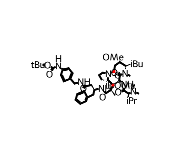 CC[C@H](C)[C@@H]([C@@H](CC(=O)N1CCC[C@H]1[C@H](OC)[C@@H](C)C(=O)N[C@H](CC(=O)NCc1ccc(NC(=O)OC(C)(C)C)cc1)Cc1ccccc1)OC)N(C)C(=O)[C@@H](NC(=O)[C@H](C(C)C)N(C)C)C(C)C